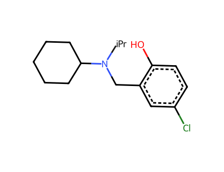 CC(C)N(Cc1cc(Cl)ccc1O)C1CCCCC1